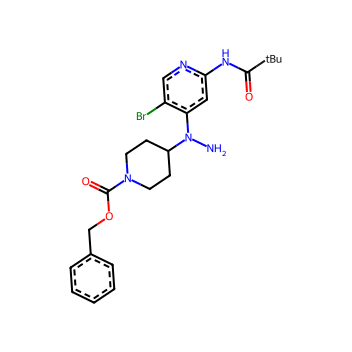 CC(C)(C)C(=O)Nc1cc(N(N)C2CCN(C(=O)OCc3ccccc3)CC2)c(Br)cn1